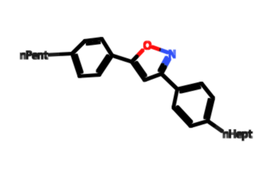 CCCCCCCc1ccc(-c2cc(-c3ccc(CCCCC)cc3)on2)cc1